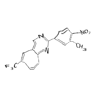 Cc1cc(-c2ncc3cc(C(F)(F)F)ccc3n2)ccc1[N+](=O)[O-]